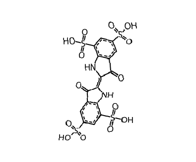 O=C1/C(=C2\Nc3c(cc(S(=O)(=O)O)cc3S(=O)(=O)O)C2=O)Nc2c1cc(S(=O)(=O)O)cc2S(=O)(=O)O